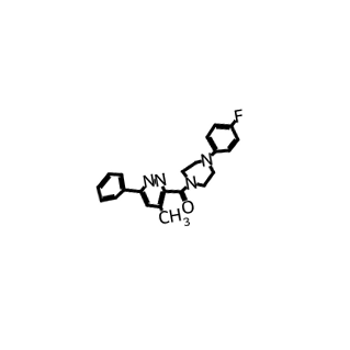 Cc1cc(-c2ccccc2)nnc1C(=O)N1CCN(c2ccc(F)cc2)CC1